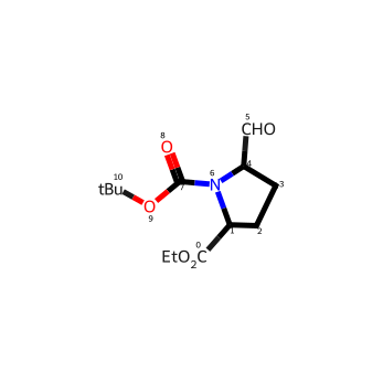 CCOC(=O)C1CCC(C=O)N1C(=O)OC(C)(C)C